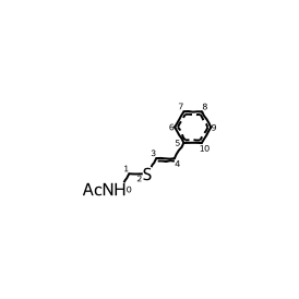 CC(=O)NCS/C=C/c1ccccc1